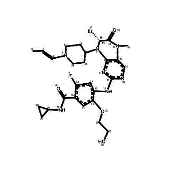 CC=CN1CCC(N2c3nc(Nc4cc(F)c(C(=O)NC5CC5)cc4OCCO)ncc3N(C)C(=O)[C@H]2CC)CC1